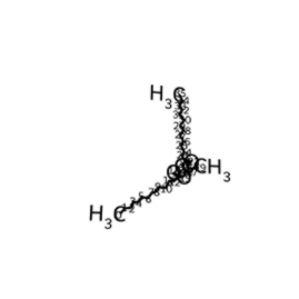 CCCCCCCCCCCCCC(=O)OC(CCC)OC(=O)CCCCCCCCCCCCC